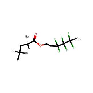 CC[C@H](C)C(C)(CC(C)(CC)CC)C(=O)OCCC(F)(F)C(F)(F)C(F)(F)C(F)(F)F